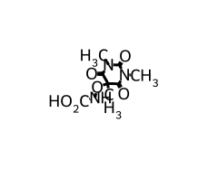 CN1C(=O)N(C)C(=O)C(C)(ONC(=O)O)C1=O